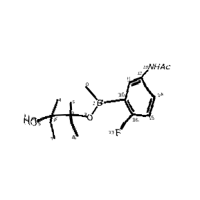 CB(OC(C)(C)C(C)(C)O)c1cc(NC(C)=O)ccc1F